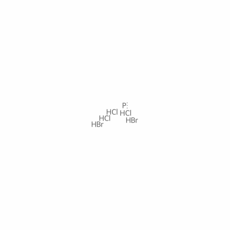 Br.Br.Cl.Cl.Cl.[P]